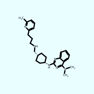 Cc1cccc(CCCNC[C@H]2CC[C@@H](Nc3nc(N(C)C)c4ccccc4n3)CC2)n1